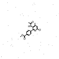 COC(=O)c1ccc(-c2nc(Cl)cc(C)c2NC(C)=O)cc1